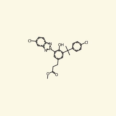 COC(=O)CCc1cc(-n2nc3ccc(Cl)cc3n2)c(O)c(C(C)(C)c2ccc(Cl)cc2)c1